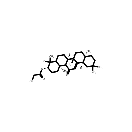 CC(=O)CC(=O)O[C@H]1CC[C@@]2(C)C(CC[C@]3(C)C2C(=O)C=C2[C@@H]4CC(C)(C)CC[C@]4(C)CCC23C)C1(C)C